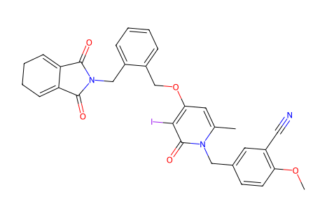 COc1ccc(Cn2c(C)cc(OCc3ccccc3CN3C(=O)C4=CCCC=C4C3=O)c(I)c2=O)cc1C#N